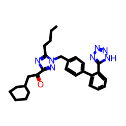 CCCCc1nc(C(=O)CC2CCCCC2)nn1Cc1ccc(-c2ccccc2-c2nnn[nH]2)cc1